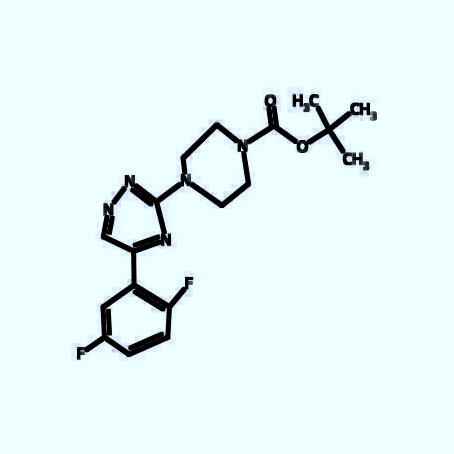 CC(C)(C)OC(=O)N1CCN(c2nncc(-c3cc(F)ccc3F)n2)CC1